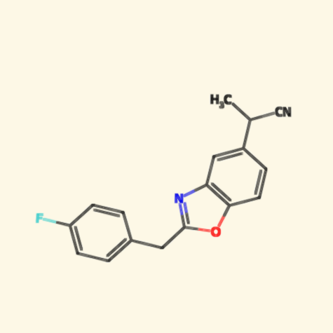 CC(C#N)c1ccc2oc(Cc3ccc(F)cc3)nc2c1